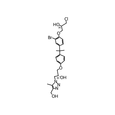 Cc1c(CO)nnn1C[C@@H](O)COc1ccc(C(C)(C)c2ccc(OC[C@@H](O)CCl)c(Br)c2)cc1